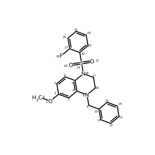 COc1ccc2c(c1)N(Cc1ccccc1)CCN2S(=O)(=O)c1ccccc1F